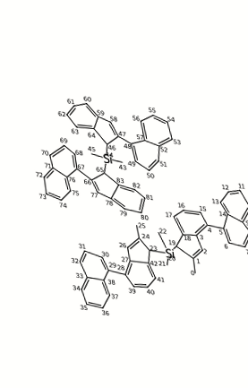 CC1=Cc2c(-c3cccc4ccccc34)cccc2C1[Si](C)(C)C1C(C)=Cc2c(-c3cccc4ccccc34)cccc21.C[Si](C)(C1C(c2cccc3ccccc23)=Cc2ccccc21)C1C(c2cccc3ccccc23)=Cc2ccccc21